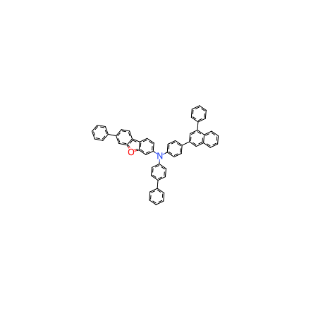 c1ccc(-c2ccc(N(c3ccc(-c4cc(-c5ccccc5)c5ccccc5c4)cc3)c3ccc4c(c3)oc3cc(-c5ccccc5)ccc34)cc2)cc1